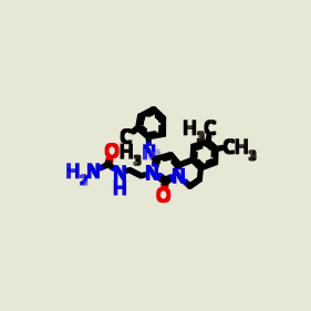 Cc1cc2c(cc1C)-c1c/c(=N\c3ccccc3C)n(CCNC(N)=O)c(=O)n1CC2